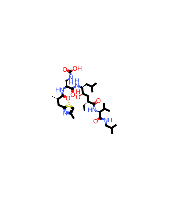 CC[C@H](C[C@H](O)[C@H](CC(C)C)NC(=O)[C@H](CNC(=O)O)NC(=O)[C@@H](C)Cc1nc(C)cs1)C(=O)N[C@H](C(=O)NCC(C)C)C(C)C